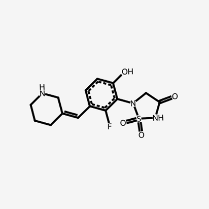 O=C1CN(c2c(O)ccc(/C=C3/CCCNC3)c2F)S(=O)(=O)N1